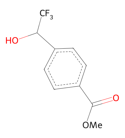 COC(=O)c1ccc(C(O)C(F)(F)F)cc1